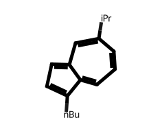 CCCCc1ccc2cc(C(C)C)cccc1-2